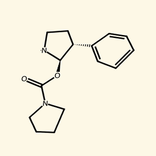 O=C(O[C@H]1[N]CC[C@@H]1c1ccccc1)N1CCCC1